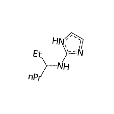 CCCC(CC)Nc1ncc[nH]1